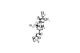 COC(=O)CC(=O)C(=O)SC(C)(C)CNC(=O)C(C)C